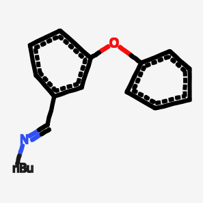 CCCCN=Cc1cccc(Oc2ccccc2)c1